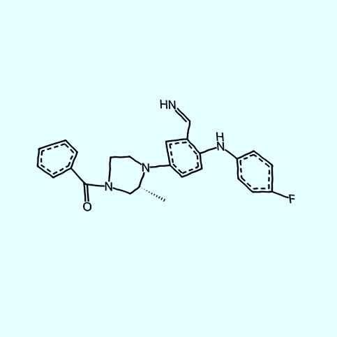 C[C@@H]1CN(C(=O)c2ccccc2)CCN1c1ccc(Nc2ccc(F)cc2)c(C=N)c1